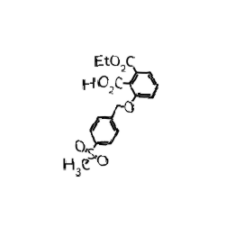 CCOC(=O)c1cccc(OCc2ccc(S(C)(=O)=O)cc2)c1C(=O)O